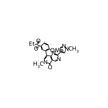 CCS(=O)(=O)c1ccc(OC)c(-c2cn(C)c(=O)c3cnc(-c4cnn(C)c4)nc23)c1